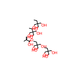 C=C(C)C(=O)O.CCC(CO)(CO)CO.CCC(CO)(CO)CO.CCC(CO)(CO)CO.CCC(CO)(CO)CO